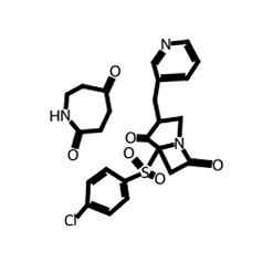 O=C1CC2(S(=O)(=O)c3ccc(Cl)cc3)C(=O)C(Cc3cccnc3)CN12.O=C1CCNC(=O)CC1